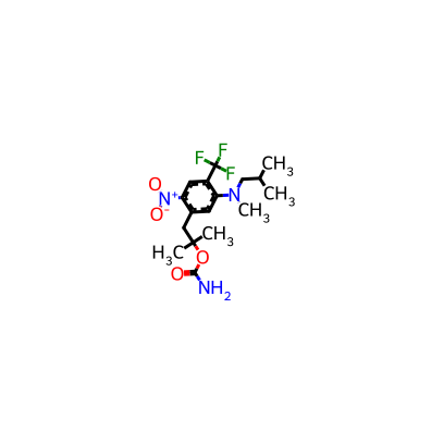 CC(C)CN(C)c1cc(CC(C)(C)OC(N)=O)c([N+](=O)[O-])cc1C(F)(F)F